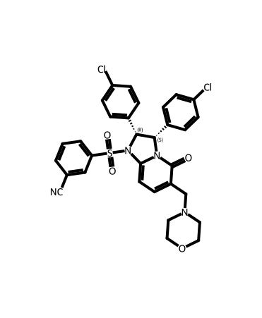 N#Cc1cccc(S(=O)(=O)N2c3ccc(CN4CCOCC4)c(=O)n3[C@@H](c3ccc(Cl)cc3)[C@H]2c2ccc(Cl)cc2)c1